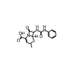 CC1C=C(C(=O)O)N2C(=O)C(NC(=O)Nc3ccccc3)[C@@H]2S1